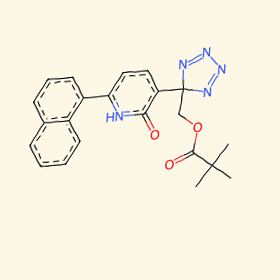 CC(C)(C)C(=O)OCC1(c2ccc(-c3cccc4ccccc34)[nH]c2=O)N=NN=N1